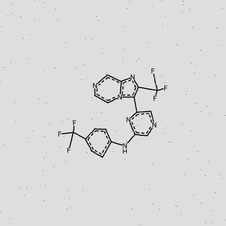 FC(F)(F)c1ccc(Nc2cncc(-c3c(C(F)(F)F)nc4cnccn34)n2)cc1